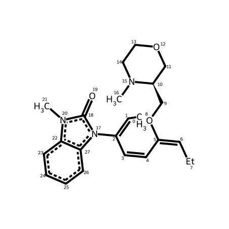 C\C=C(/C=C\C(=C/CC)OC[C@@H]1COCCN1C)n1c(=O)n(C)c2ccccc21